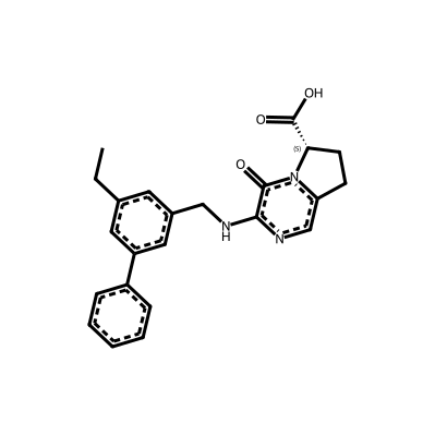 CCc1cc(CNc2ncc3n(c2=O)[C@H](C(=O)O)CC3)cc(-c2ccccc2)c1